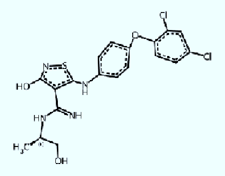 C[C@H](CO)NC(=N)c1c(O)nsc1Nc1ccc(Oc2ccc(Cl)cc2Cl)cc1